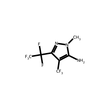 Cn1nc(C(F)(F)C(F)(F)F)c(C(F)(F)F)c1N